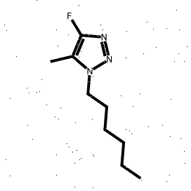 CCCCCCn1nnc(F)c1C